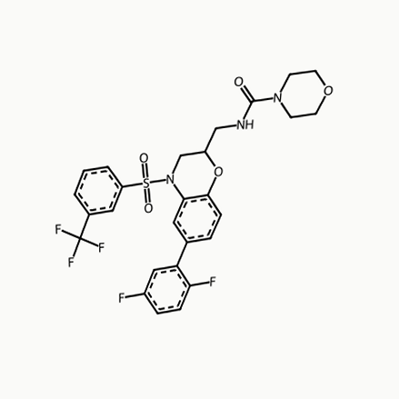 O=C(NCC1CN(S(=O)(=O)c2cccc(C(F)(F)F)c2)c2cc(-c3cc(F)ccc3F)ccc2O1)N1CCOCC1